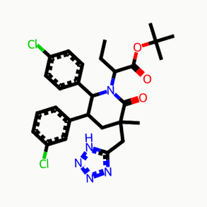 CCC(C(=O)OC(C)(C)C)N1C(=O)C(C)(Cc2nnn[nH]2)CC(c2cccc(Cl)c2)C1c1ccc(Cl)cc1